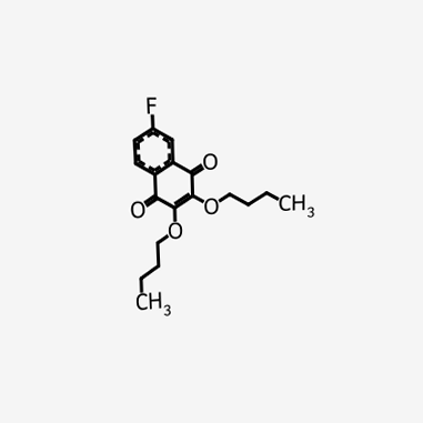 CCCCOC1=C(OCCCC)C(=O)c2cc(F)ccc2C1=O